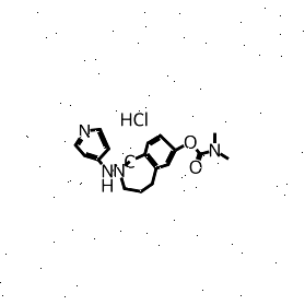 CN(C)C(=O)Oc1ccc2c(c1)CCCN(Nc1ccncc1)C2.Cl